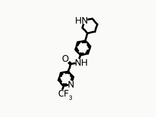 O=C(Nc1ccc(C2CCCNC2)cc1)c1ccc(C(F)(F)F)nc1